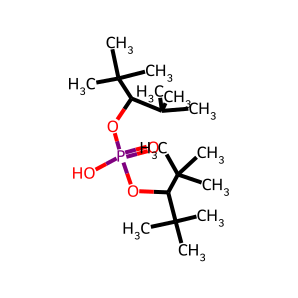 CC(C)(C)C(OP(=O)(O)OC(C(C)(C)C)C(C)(C)C)C(C)(C)C